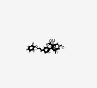 O=CN1C[C@H]2CC(c3ccc(CCCOc4c(F)ccc(F)c4F)cc3)=C(C(=O)O)[C@@H](C1)N2